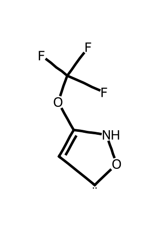 FC(F)(F)OC1=C[C]ON1